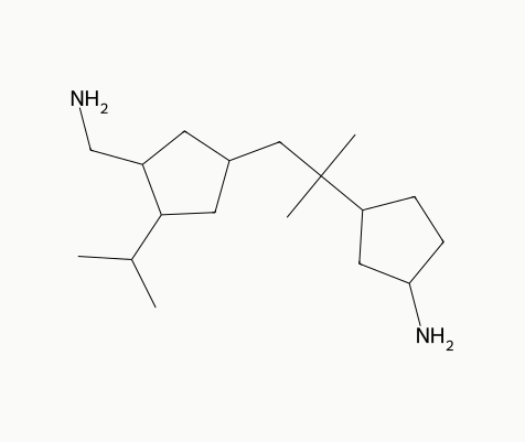 CC(C)C1CC(CC(C)(C)C2CCC(N)C2)CC1CN